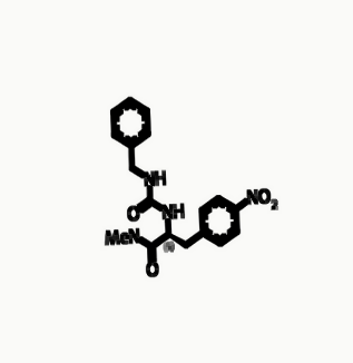 CNC(=O)[C@H](Cc1ccc([N+](=O)[O-])cc1)NC(=O)NCc1ccccc1